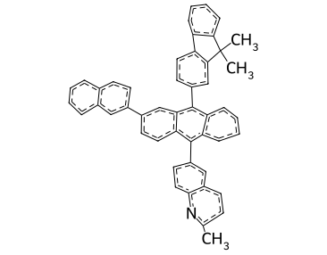 Cc1ccc2cc(-c3c4ccccc4c(-c4ccc5c(c4)C(C)(C)c4ccccc4-5)c4cc(-c5ccc6ccccc6c5)ccc34)ccc2n1